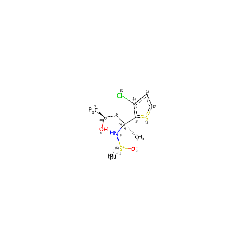 CC(C)(C)[S@@+]([O-])N[C@@](C)(C[C@@H](O)C(F)(F)F)c1sccc1Cl